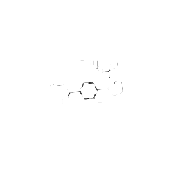 CC(C)(C)OC(=O)N1CCCC1c1ccc(C(=O)CBr)cc1F